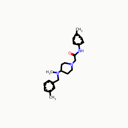 Cc1ccc(NC(=O)CN2CCC(N(C)Cc3cccc(C)c3)CC2)cc1